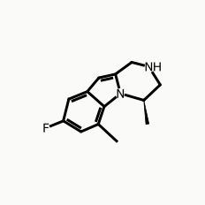 Cc1cc(F)cc2cc3n(c12)[C@H](C)CNC3